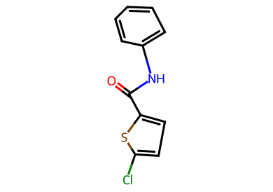 O=C(Nc1ccccc1)c1ccc(Cl)s1